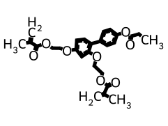 C=C(C)C(=O)OCCOc1ccc(-c2ccc(OC(=O)CC)cc2)c(OCCOC(=O)C(=C)C)c1